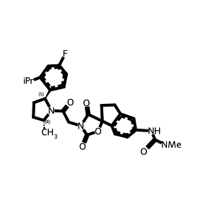 CNC(=O)Nc1ccc2c(c1)CCC21OC(=O)N(CC(=O)N2[C@H](C)CC[C@H]2c2ccc(F)cc2C(C)C)C1=O